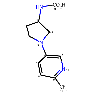 O=C(O)NC1CCN(c2ccc(C(F)(F)F)nc2)C1